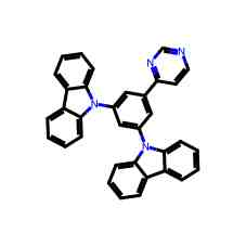 c1ccc2c(c1)c1ccccc1n2-c1cc(-c2ccncn2)cc(-n2c3ccccc3c3ccccc32)c1